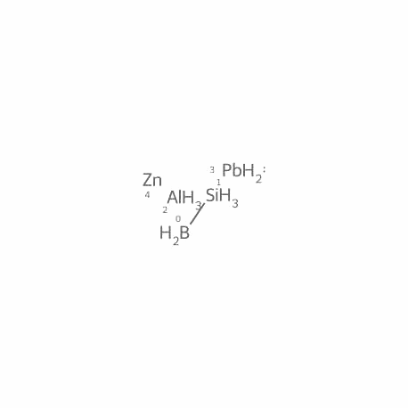 B[SiH3].[AlH3].[PbH2].[Zn]